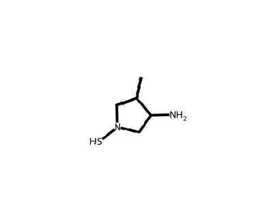 CC1CN(S)CC1N